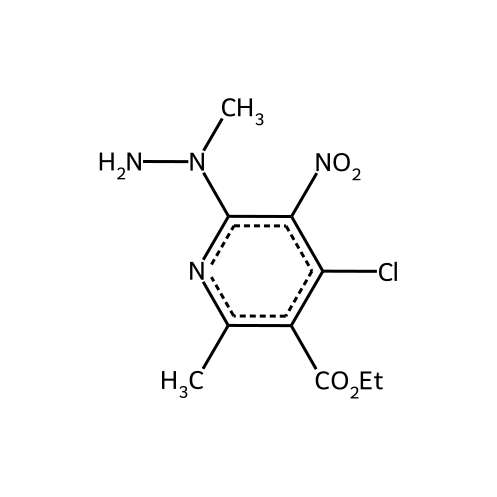 CCOC(=O)c1c(C)nc(N(C)N)c([N+](=O)[O-])c1Cl